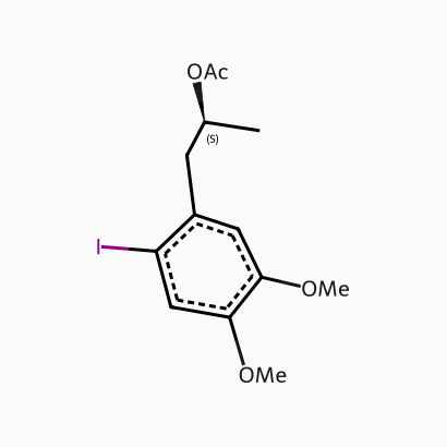 COc1cc(I)c(C[C@H](C)OC(C)=O)cc1OC